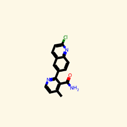 Cc1ccnc(-c2ccc3nc(Cl)ccc3c2)c1C(N)=O